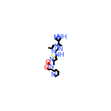 Cc1cn2c(-c3cn[nH]c3)cnc2c(Nc2cc(CN3C(=O)OCC3c3ccccn3)ns2)n1